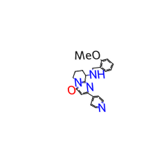 COc1ccccc1CNC1CCCn2c1nc(-c1ccncc1)cc2=O